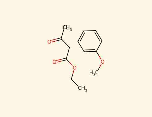 CCOC(=O)CC(C)=O.COc1ccccc1